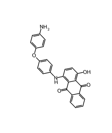 Nc1ccc(Oc2ccc(Nc3ccc(O)c4c3C(=O)c3ccccc3C4=O)cc2)cc1